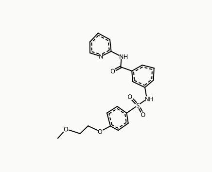 COCCOc1ccc(S(=O)(=O)Nc2cccc(C(=O)Nc3ccccn3)c2)cc1